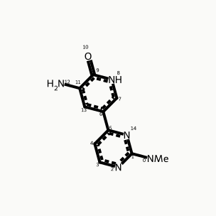 CNc1nccc(-c2c[nH]c(=O)c(N)c2)n1